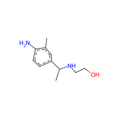 Cc1cc(C(C)NCCO)ccc1N